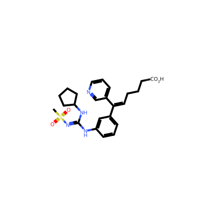 CS(=O)(=O)N=C(Nc1cccc(C(=CCCCC(=O)O)c2cccnc2)c1)NC1CCCC1